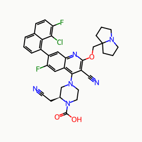 N#CC[C@H]1CN(c2c(C#N)c(OCC34CCCN3CCC4)nc3cc(-c4cccc5ccc(F)c(Cl)c45)c(F)cc23)CCN1C(=O)O